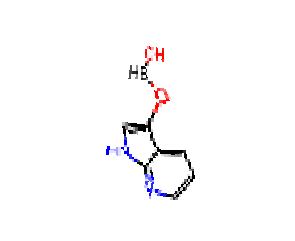 OBOc1c[nH]c2ncccc12